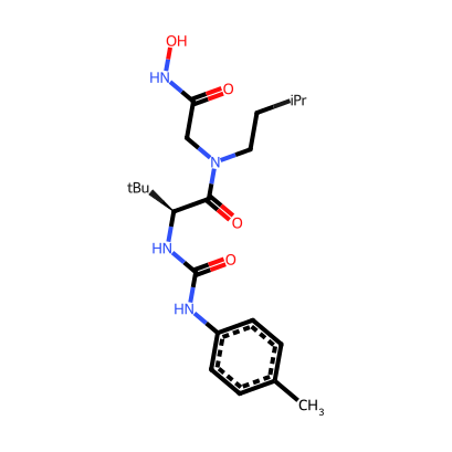 Cc1ccc(NC(=O)N[C@H](C(=O)N(CCC(C)C)CC(=O)NO)C(C)(C)C)cc1